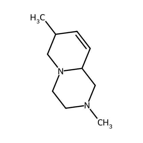 CC1C=CC2CN(C)CCN2C1